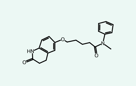 CN(C(=O)CCCCOc1ccc2c(c1)CCC(=O)N2)c1ccccc1